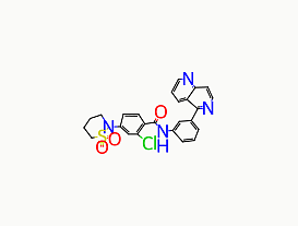 O=C(Nc1cccc(-c2nccc3ncccc23)c1)c1ccc(N2CCCCS2(=O)=O)cc1Cl